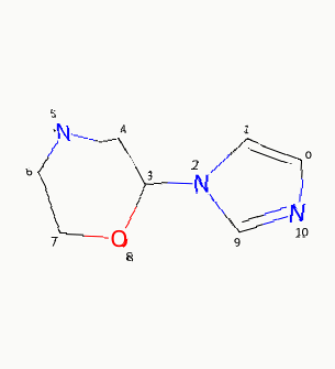 c1cn(C2C[N]CCO2)cn1